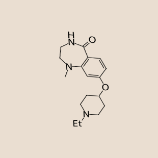 CCN1CCC(Oc2ccc3c(c2)N(C)CCNC3=O)CC1